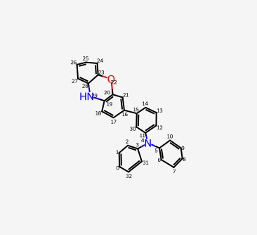 c1ccc(N(c2ccccc2)c2cccc(-c3ccc4c(c3)Oc3ccccc3N4)c2)cc1